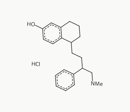 CNCC(CCC1CCCc2cc(O)ccc21)c1ccccc1.Cl